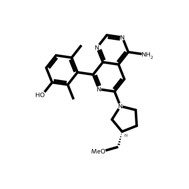 COC[C@H]1CCN(c2cc3c(N)ncnc3c(-c3c(C)ccc(O)c3C)n2)C1